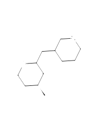 C[C@H]1CCOC(CC2CCCNC2)C1